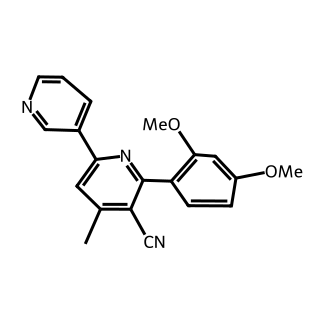 COc1ccc(-c2nc(-c3cccnc3)cc(C)c2C#N)c(OC)c1